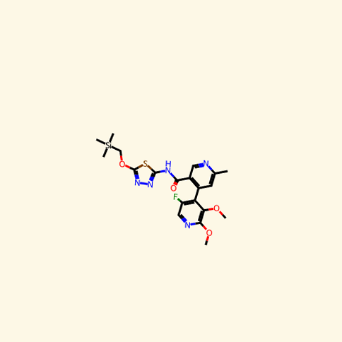 COc1ncc(F)c(-c2cc(C)ncc2C(=O)Nc2nnc(OC[Si](C)(C)C)s2)c1OC